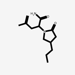 C=C(C)CC(C(N)=O)N1CC(CCC)CC1=O